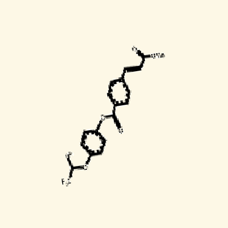 CCCC(Oc1ccc(OC(=O)c2ccc(/C=C/C(=O)OC)cc2)cc1)C(F)(F)F